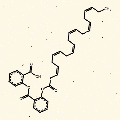 CC/C=C\C/C=C\C/C=C\C/C=C\C/C=C\C/C=C\CC(=O)Oc1ccccc1C(=O)Oc1ccccc1C(=O)O